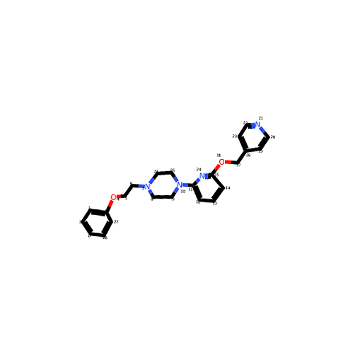 c1ccc(OCCN2CCN(c3cccc(OCc4ccncc4)n3)CC2)cc1